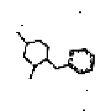 CC1CCC(Cc2ccccc2)C(C)C1